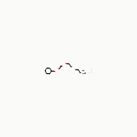 CO[Si](CCCSCC(C)C(=O)OCCOC(=O)C1CCCCC1C(=O)O)(OC)OC